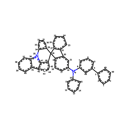 c1ccc(-c2cccc(N(c3ccccc3)c3ccc4c(c3)-c3ccccc3C43c4ccccc4-n4c5ccccc5c5cccc3c54)c2)cc1